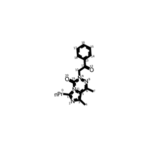 CCCc1nc(C)c2c(C)nn(CC(=O)c3ccccc3)c(=O)n12